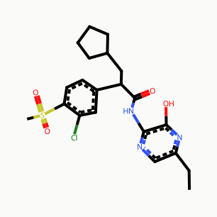 CCc1cnc(NC(=O)C(CC2CCCC2)c2ccc(S(C)(=O)=O)c(Cl)c2)c(O)n1